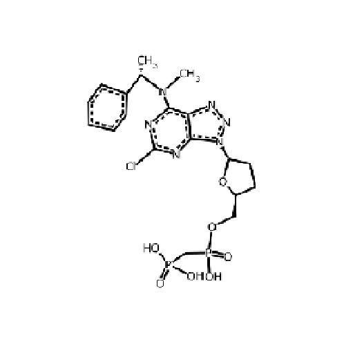 C[C@@H](c1ccccc1)N(C)c1nc(Cl)nc2c1nnn2[C@H]1CC[C@@H](COP(=O)(O)CP(=O)(O)O)O1